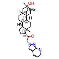 COC[C@]12CC[C@@](C)(O)C[C@H]1CC[C@H]1[C@@H]3CC[C@H](C(=O)Cn4cc5cccnc5n4)[C@@]3(C)CC[C@@H]12